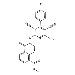 COC(=O)c1cccc2c1SCC(Sc1nc(N)c(C#N)c(-c3ccc(Cl)cc3)c1C#N)C2=O